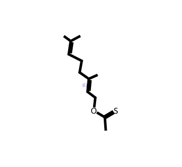 CC(=S)OC/C=C(\C)CCC=C(C)C